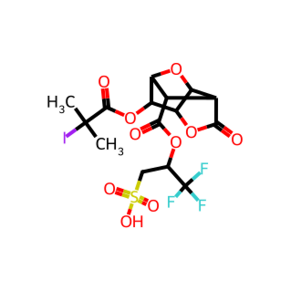 CC(C)(I)C(=O)OC1C2OC(=O)C3C2OC1C3C(=O)OC(CS(=O)(=O)O)C(F)(F)F